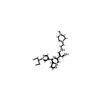 CCC(CC)n1cc(-c2nc(/C(C=N)=C/NCCN3CCN(C)CC3)cn3nccc23)cn1